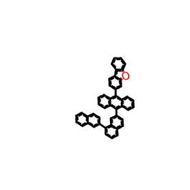 c1ccc2cc(-c3cccc4ccc(-c5c6ccccc6c(-c6ccc7c(c6)oc6ccccc67)c6ccccc56)cc34)ccc2c1